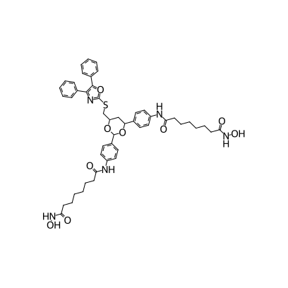 O=C(CCCCCCC(=O)Nc1ccc(C2CC(CSc3nc(-c4ccccc4)c(-c4ccccc4)o3)OC(c3ccc(NC(=O)CCCCCCC(=O)NO)cc3)O2)cc1)NO